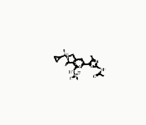 CC(=O)Nc1nc(C)c(-c2cc3c(c(NS(C)(=O)=O)n2)C(=O)N([C@H](C)C2CC2)C3)s1